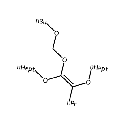 CCCCCCCOC(CCC)=C(OCCCCCCC)OCOCCCC